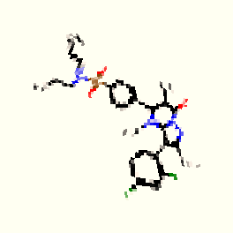 CCCN(CCC)S(=O)(=O)c1ccc(-c2c(C)c(=O)n3nc(C)c(-c4ccc(F)cc4F)c3n2C)cc1